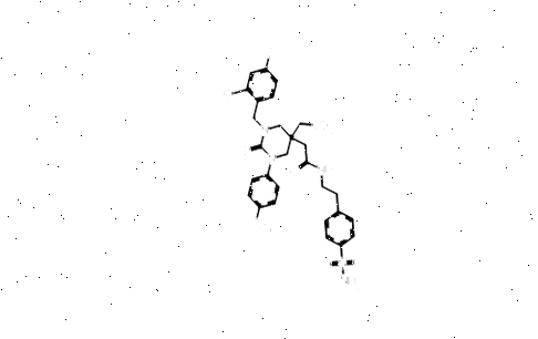 Cc1ccc(N2CC(CC(=O)O)(CC(=O)NCCc3ccc(S(N)(=O)=O)cc3)CN(Cc3ccc(Cl)cc3Cl)C2=O)cc1